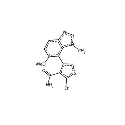 CCc1scc(-c2c(OC)ccc3ncn(C)c23)c1C(N)=O